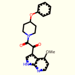 COc1ccnc2[nH]cc(C(=O)C(=O)N3CCC(Oc4ccccc4)CC3)c12